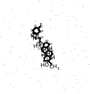 CC[C@@]1(O)CC[C@H]2[C@@H](CC[C@@H]3[C@@H]2CC[C@]2(C)[C@@H](C(=O)Cn4nnc5ccc(F)cc54)CC[C@@H]32)C1